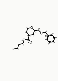 CCCCOC(=O)N1CCOC(COCc2ccccc2)C1